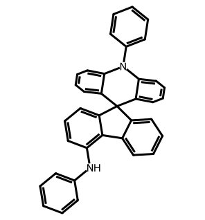 c1ccc(Nc2cccc3c2-c2ccccc2C32c3ccccc3N(c3ccccc3)c3ccccc32)cc1